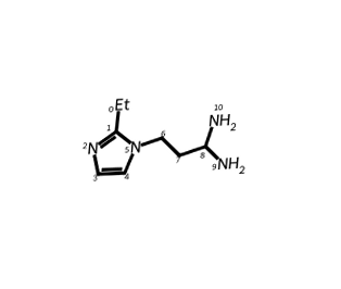 CCc1nccn1CCC(N)N